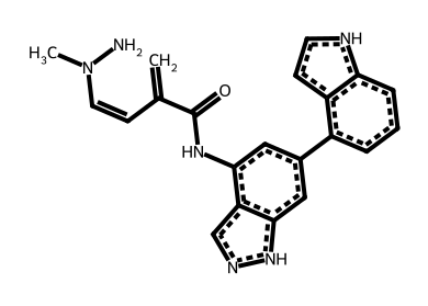 C=C(/C=C\N(C)N)C(=O)Nc1cc(-c2cccc3[nH]ccc23)cc2[nH]ncc12